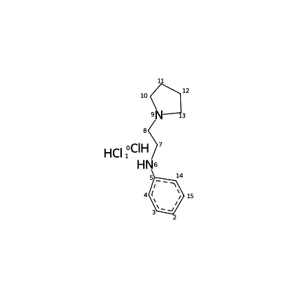 Cl.Cl.c1ccc(NCCN2CCCC2)cc1